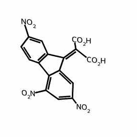 O=C(O)C(C(=O)O)=C1c2cc([N+](=O)[O-])ccc2-c2c1cc([N+](=O)[O-])cc2[N+](=O)[O-]